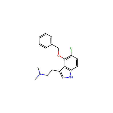 CN(C)CCc1c[nH]c2ccc(F)c(OCc3ccccc3)c12